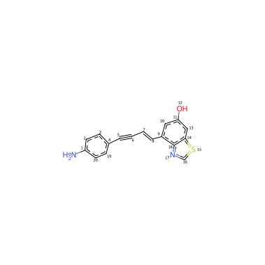 Nc1ccc(C#C/C=C/c2cc(O)cc3scnc23)cc1